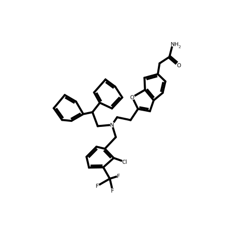 NC(=O)Cc1ccc2cc(CCN(Cc3cccc(C(F)(F)F)c3Cl)CC(c3ccccc3)c3ccccc3)oc2c1